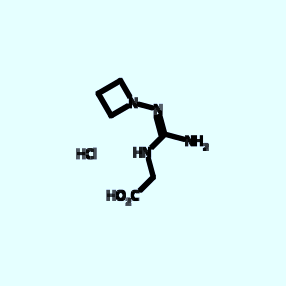 Cl.NC(=NN1CCC1)NCC(=O)O